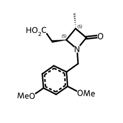 COc1ccc(CN2C(=O)[C@@H](C)[C@@H]2CC(=O)O)c(OC)c1